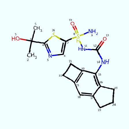 CC(C)(O)c1ncc([SH](N)(=O)NC(=O)Nc2c3c(cc4c2CC4)CCC3)s1